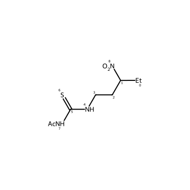 CCC(CCNC(=S)NC(C)=O)[N+](=O)[O-]